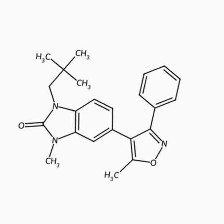 Cc1onc(-c2ccccc2)c1-c1ccc2c(c1)n(C)c(=O)n2CC(C)(C)C